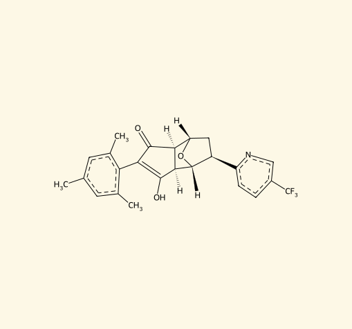 Cc1cc(C)c(C2=C(O)[C@@H]3[C@@H]4O[C@@H](C[C@H]4c4ccc(C(F)(F)F)cn4)[C@@H]3C2=O)c(C)c1